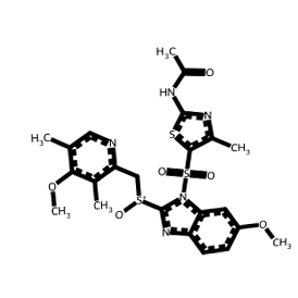 COc1ccc2nc([S+]([O-])Cc3ncc(C)c(OC)c3C)n(S(=O)(=O)c3sc(NC(C)=O)nc3C)c2c1